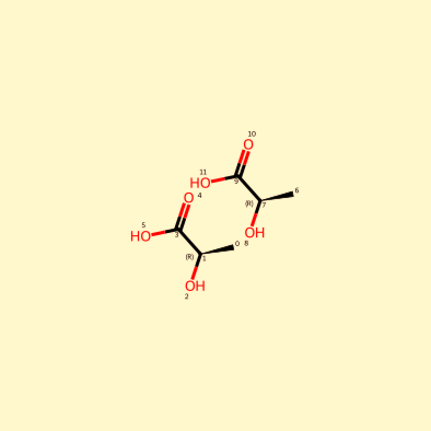 C[C@@H](O)C(=O)O.C[C@@H](O)C(=O)O